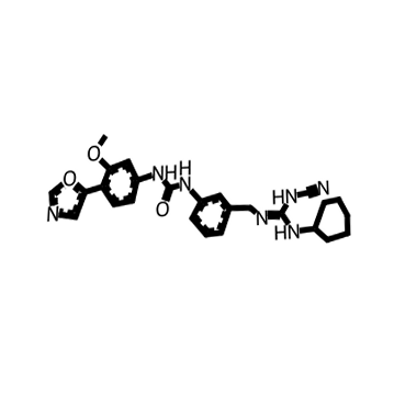 COc1cc(NC(=O)Nc2cccc(C/N=C(\NC#N)NC3CCCCC3)c2)ccc1-c1cnco1